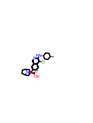 C[C@H]1CC[C@H](Nc2ncc3cc(CN4C5CCC4CC(C(=O)O)C5)ccc3c2Cl)CC1